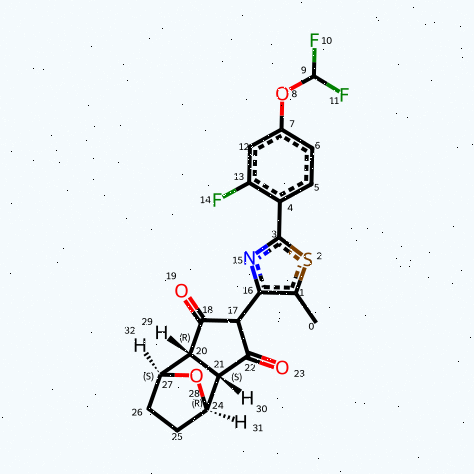 Cc1sc(-c2ccc(OC(F)F)cc2F)nc1C1C(=O)[C@@H]2[C@H](C1=O)[C@H]1CC[C@@H]2O1